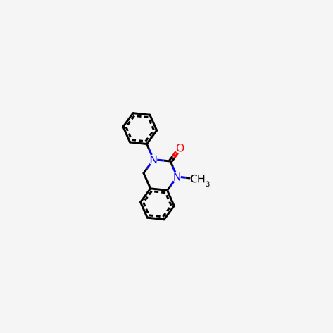 CN1C(=O)N(c2ccccc2)Cc2ccccc21